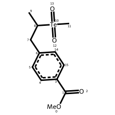 COC(=O)c1ccc(CC(C)[Te](C)(=O)=O)cc1